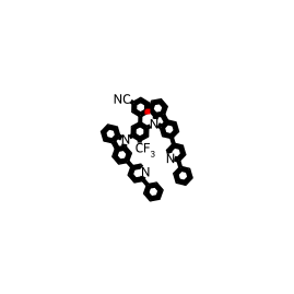 N#Cc1cccc(-c2cc(-n3c4ccccc4c4ccc(-c5ccc(-c6ccccc6)nc5)cc43)c(C(F)(F)F)cc2-n2c3ccccc3c3ccc(-c4ccc(-c5ccccc5)nc4)cc32)c1